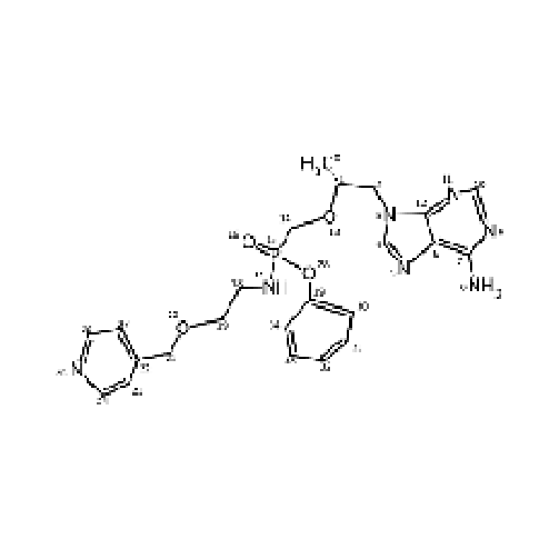 C[C@H](Cn1cnc2c(N)ncnc21)OCP(=O)(NCCOCc1ccncc1)Oc1ccccc1